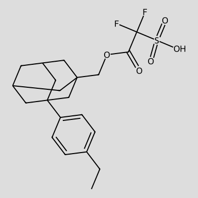 CCc1ccc(C23CC4CC(CC(COC(=O)C(F)(F)S(=O)(=O)O)(C4)C2)C3)cc1